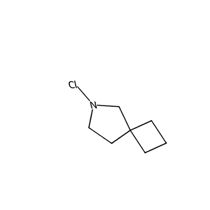 ClN1CCC2(CCC2)C1